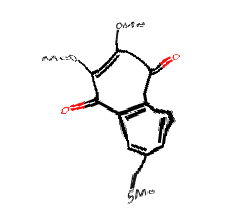 COC1=C(OC)C(=O)c2cc(SC)ccc2C1=O